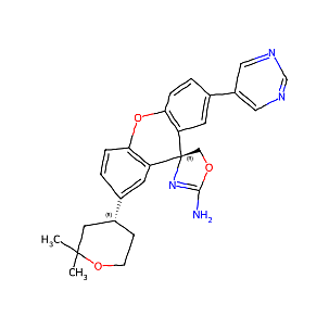 CC1(C)C[C@H](c2ccc3c(c2)[C@]2(COC(N)=N2)c2cc(-c4cncnc4)ccc2O3)CCO1